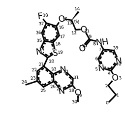 CCCOc1ncc(NC(=O)OC[C@H](C)Oc2cc3sc(-c4cc(C)cc5nc(OC)cnc45)nc3cc2F)cn1